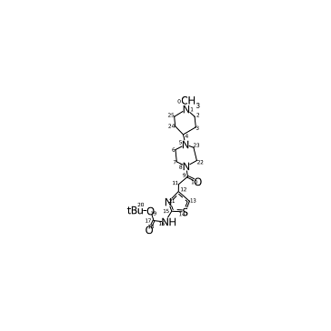 CN1CCC(N2CCN(C(=O)Cc3csc(NC(=O)OC(C)(C)C)n3)CC2)CC1